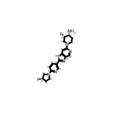 N[C@@H]1CCN(c2cc3sc(-c4ccc(N5CC[C@@H](F)C5)nc4)nc3cn2)C[C@@H]1F